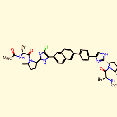 COC(=O)N[C@H](C(=O)N1C(C)CCC1c1nc(Cl)c(-c2ccc3cc(-c4ccc(-c5c[nH]c([C@@H]6CC[C@H](C)N6C(=O)[C@@H](NC(=O)O)C(C)C)n5)cc4)ccc3c2)[nH]1)C(C)C